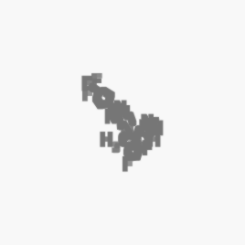 C[C@@H](N1CCn2nc(-c3ccc(C(F)(F)F)cc3)nc2C1)[C@](O)(Cn1cncn1)c1ccc(F)cc1F